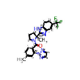 Cc1ccc(C(=O)N2CCCC2(C)c2nc3cc(C(F)(F)F)ccc3[nH]2)c(-n2nccn2)c1